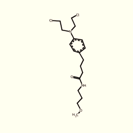 COCCCNC(=O)CCCc1ccc(N(CCCl)CCCl)cc1